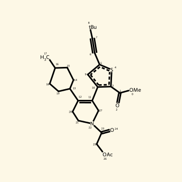 COC(=O)c1sc(C#CC(C)(C)C)cc1C1=C(C2CCC(C)CC2)CCN(C(=O)COC(C)=O)C1